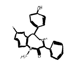 CN1C(=O)C(c2ccccc2)NC(c2ccc(O)cc2)c2cc(I)ccc21